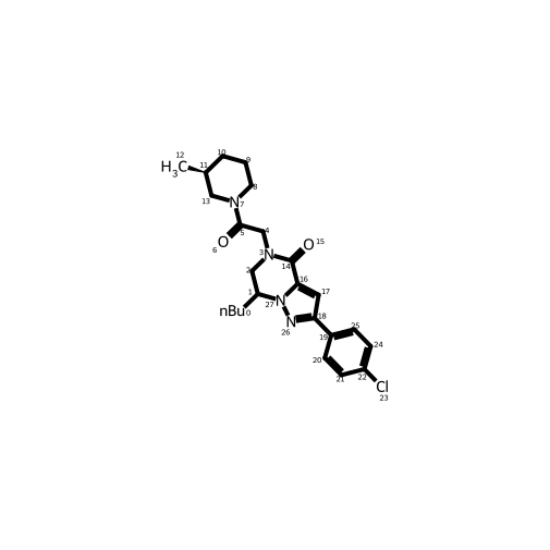 CCCCC1CN(CC(=O)N2CCC[C@H](C)C2)C(=O)c2cc(-c3ccc(Cl)cc3)nn21